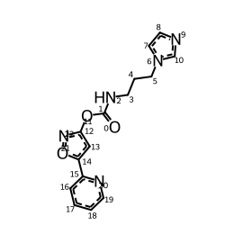 O=C(NCCCn1ccnc1)Oc1cc(-c2ccccn2)on1